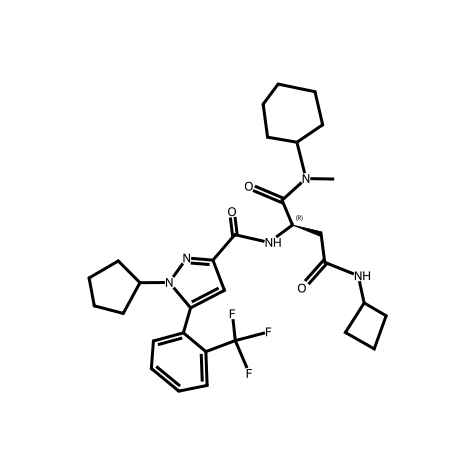 CN(C(=O)[C@@H](CC(=O)NC1CCC1)NC(=O)c1cc(-c2ccccc2C(F)(F)F)n(C2CCCC2)n1)C1CCCCC1